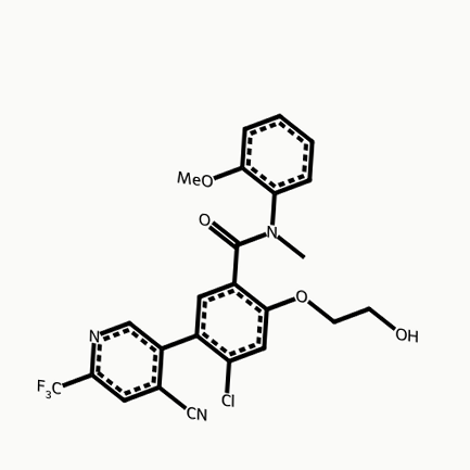 COc1ccccc1N(C)C(=O)c1cc(-c2cnc(C(F)(F)F)cc2C#N)c(Cl)cc1OCCO